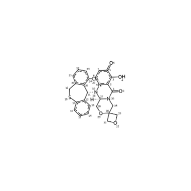 O=C1c2c(O)c(=O)ccn2N([C@@H]2c3ccccc3SCc3cccc(Cl)c32)[C@@H]2COC3(COC3)CN12